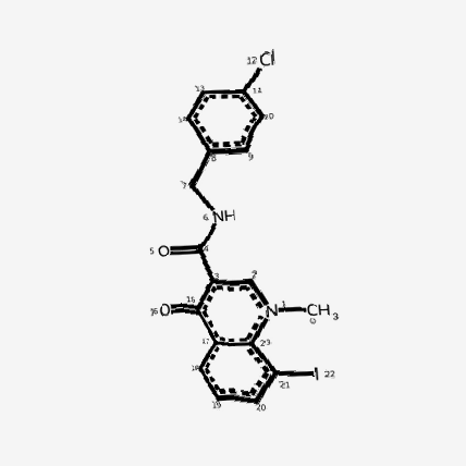 Cn1cc(C(=O)NCc2ccc(Cl)cc2)c(=O)c2cccc(I)c21